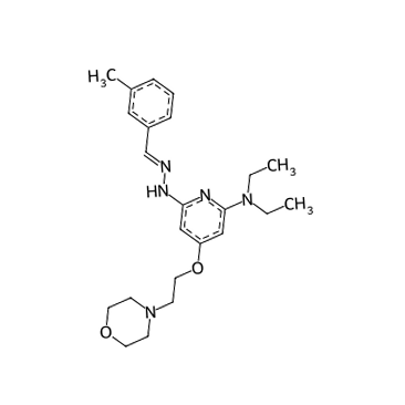 CCN(CC)c1cc(OCCN2CCOCC2)cc(NN=Cc2cccc(C)c2)n1